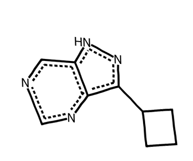 c1ncc2[nH]nc(C3CCC3)c2n1